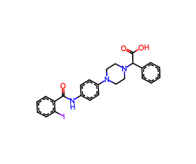 O=C(Nc1ccc(N2CCN(C(C(=O)O)c3ccccc3)CC2)cc1)c1ccccc1I